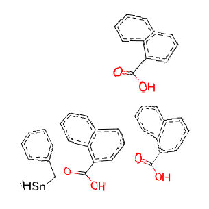 O=C(O)c1cccc2ccccc12.O=C(O)c1cccc2ccccc12.O=C(O)c1cccc2ccccc12.[SnH][CH2]c1ccccc1